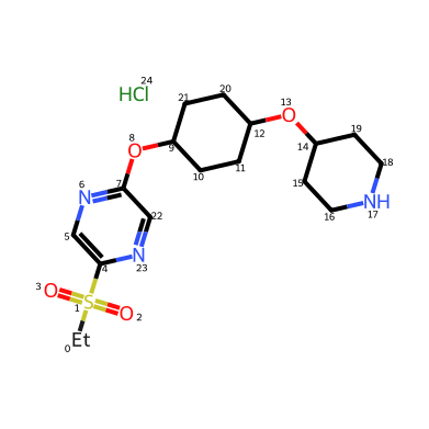 CCS(=O)(=O)c1cnc(OC2CCC(OC3CCNCC3)CC2)cn1.Cl